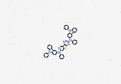 c1ccc(N(c2ccc3c(c2)c2ccccc2n3-c2ccccc2)c2cc3sc4nc(N(c5ccccc5)c5ccc6c(c5)c5ccccc5n6-c5ccccc5)cnc4c3cn2)cc1